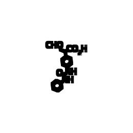 O=CCC(C(=O)O)c1ccc(NC(=O)Nc2ccccc2)cc1